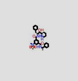 C[C@@H](NC(=O)c1cc(C(=O)N[C@@H](Cc2ccccc2)[C@H](O)[C@H]2CCCCN2)cc(N(C)S(C)(=O)=O)c1)c1ccccc1